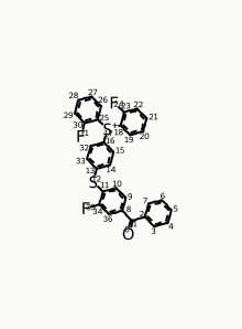 O=C(c1ccccc1)c1ccc(Sc2ccc([S+](c3ccccc3F)c3ccccc3F)cc2)c(F)c1